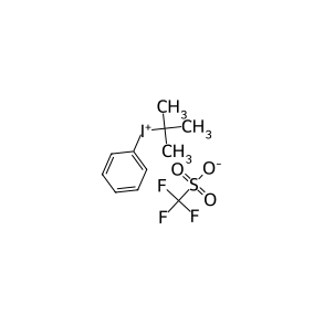 CC(C)(C)[I+]c1ccccc1.O=S(=O)([O-])C(F)(F)F